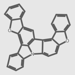 c1ccc2c(c1)oc1c2cc2c3c4c(ccc3n3c5ccccc5c1c23)oc1ccccc14